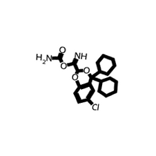 N=C(OC(N)=O)C1Oc2ccc(Cl)cc2C(C2CCCCC2)(C2CCCCC2)O1